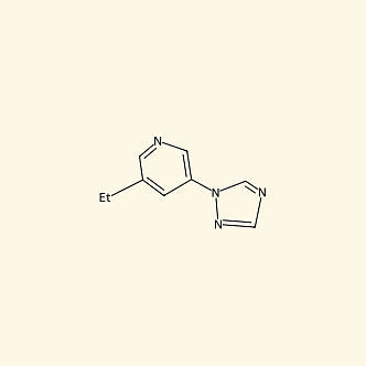 CCc1cncc(-n2cncn2)c1